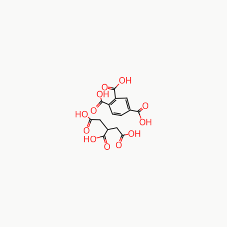 O=C(O)CC(CC(=O)O)C(=O)O.O=C(O)c1ccc(C(=O)O)c(C(=O)O)c1